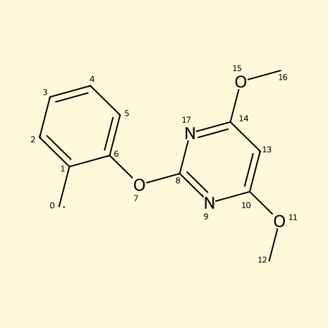 [CH2]c1ccccc1Oc1nc(OC)cc(OC)n1